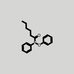 CCCCCC(=O)N(Oc1ccccc1)c1ccccc1